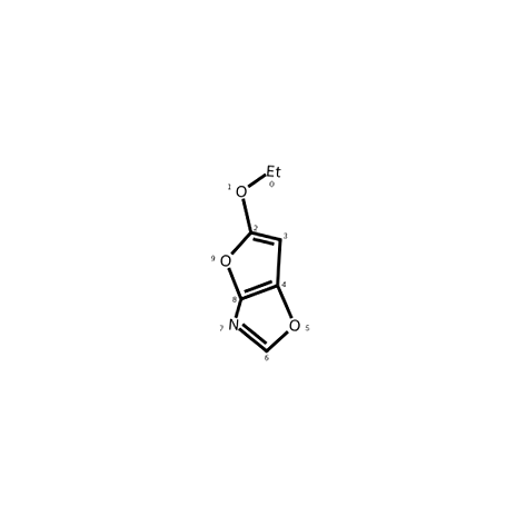 CCOc1cc2ocnc2o1